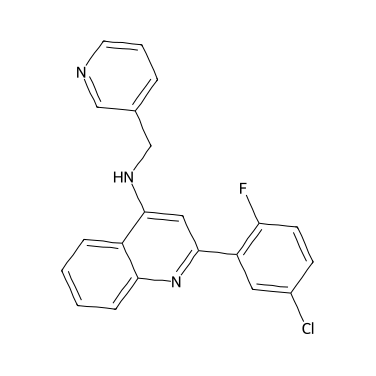 Fc1ccc(Cl)cc1-c1cc(NCc2cccnc2)c2ccccc2n1